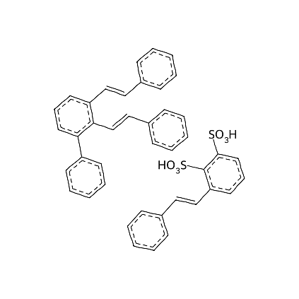 C(=Cc1cccc(-c2ccccc2)c1C=Cc1ccccc1)c1ccccc1.O=S(=O)(O)c1cccc(C=Cc2ccccc2)c1S(=O)(=O)O